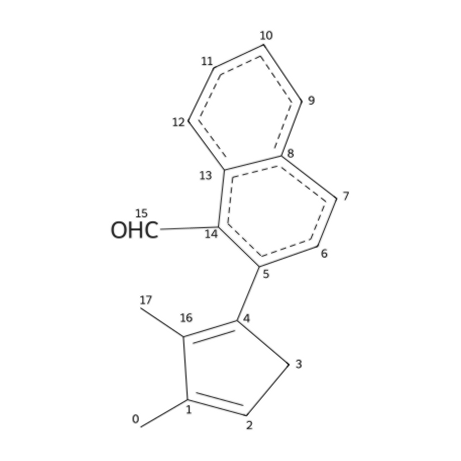 CC1=CCC(c2ccc3ccccc3c2C=O)=C1C